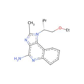 CCOC[C@@H](C(C)C)n1c(C)nc2c(N)nc3ccccc3c21